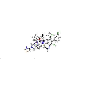 Cc1nc2c(F)c(-c3cccc(Cl)c3Cl)c(CCC#N)cc2c2c1cc([C@H]1[C@H]3C[C@H](CN(c4cscn4)C3)N1C(=O)C1CC1)n2[C@H]1[C@H]2CN[C@@H]1C2